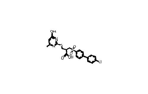 Cc1cc(O)nc(SCC(CS(=O)(=O)c2ccc(-c3ccc(Cl)cc3)cc2)C(=O)O)n1